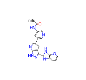 CCCCC(=O)Nc1cncc(-c2cnc3[nH]nc(-c4nc5cccnc5[nH]4)c3c2)c1